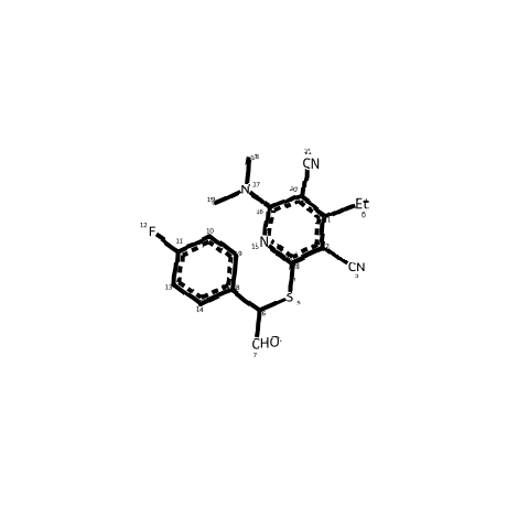 CCc1c(C#N)c(SC([C]=O)c2ccc(F)cc2)nc(N(C)C)c1C#N